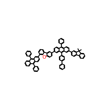 CC1(C)c2ccccc2-c2ccc(-c3ccc4c(-c5ccccc5)c5ccc(-c6ccc7oc8c(-c9ccc%10c(-c%11ccccc%11)c%11ccccc%11c(-c%11ccccc%11)c%10c9)cccc8c7c6)cc5c(-c5ccc(-c6ccccc6)cc5)c4c3)cc21